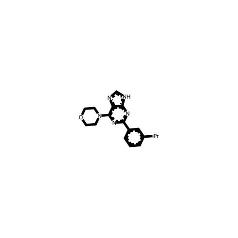 CC(C)c1cccc(-c2nc(N3CCOCC3)c3nc[nH]c3n2)c1